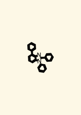 c1ccc(-c2cccc3c2nc(-c2ccccc2)n3-c2ccccc2)cc1